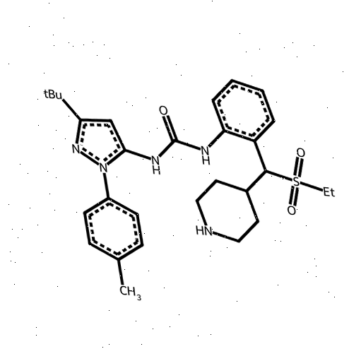 CCS(=O)(=O)C(c1ccccc1NC(=O)Nc1cc(C(C)(C)C)nn1-c1ccc(C)cc1)C1CCNCC1